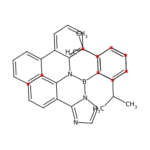 CC(C)c1cccc(C(C)C)c1B1N(c2c(C3=CCCC=C3)cccc2-c2ccccc2)c2ccccc2-c2nccn21